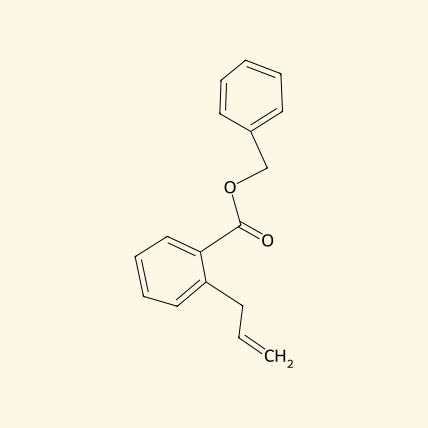 C=CCc1ccccc1C(=O)OCc1ccccc1